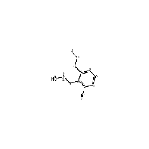 CCCc1cccc(Br)c1CNO